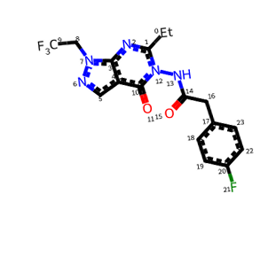 CCc1nc2c(cnn2CC(F)(F)F)c(=O)n1NC(=O)Cc1ccc(F)cc1